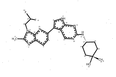 Cc1nc2ccc(-c3c[nH]c4nc(N[C@H]5CC[C@@](C)(O)CC5)ncc34)nc2n1CC(F)F